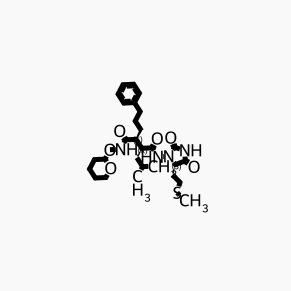 CSCC[C@H]1C(=O)NC(=O)N1NC(=O)[C@H](CC(C)C)[C@H](CCCc1ccccc1)C(=O)NOC1CCCCO1